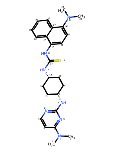 CN(C)c1ccnc(N[C@H]2CC[C@@H](NC(=S)Nc3ccc(N(C)C)c4ccccc34)CC2)n1